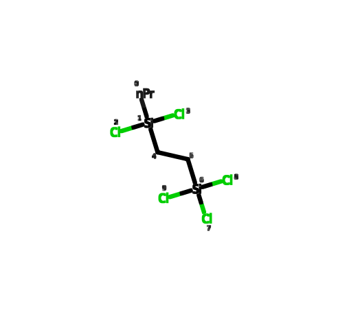 CCC[Si](Cl)(Cl)CC[Si](Cl)(Cl)Cl